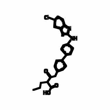 CCCC(C(=O)O)C(=O)Cc1ccc(-c2ccc(Nc3nc4ccc(Cl)cc4s3)cc2)cc1